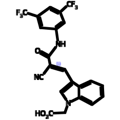 N#C/C(=C\c1cn(CC(=O)O)c2ccccc12)C(=O)Nc1cc(C(F)(F)F)cc(C(F)(F)F)c1